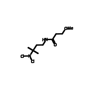 COCCC(=O)NCCC(C)(C)N(Cl)Cl